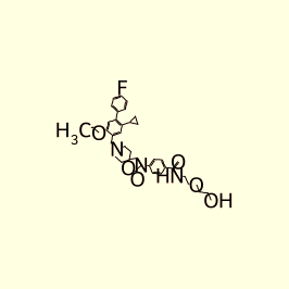 CCOc1cc(-c2ccc(F)cc2)c(C2CC2)cc1CN1CCC2(CC1)CN(c1ccc(C(=O)NCCOCCO)cc1)C(=O)O2